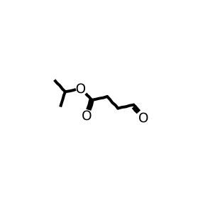 CC(C)OC(=O)CCC=O